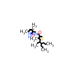 CCCC(CCC)C(CC)c1scc(C(=O)NCc2c(C)cc(C)[nH]c2=O)c1C